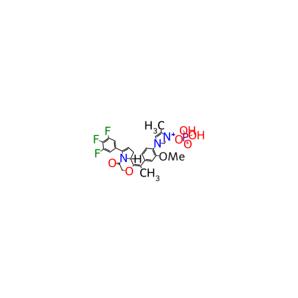 COc1cc(C(C)=C2OCC(=O)N3C(c4cc(F)c(F)c(F)c4)=CC[C@H]23)ccc1-n1cc(C)[n+](COP(=O)(O)O)c1